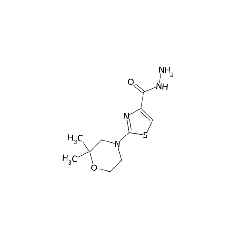 CC1(C)CN(c2nc(C(=O)NN)cs2)CCO1